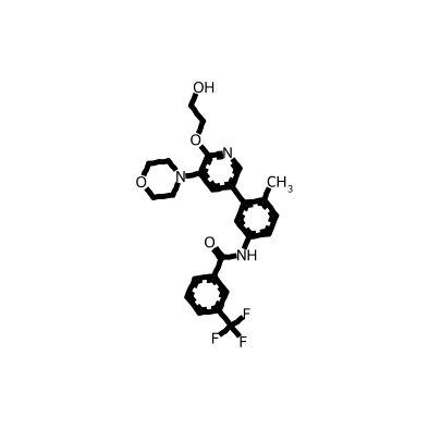 Cc1ccc(NC(=O)c2cccc(C(F)(F)F)c2)cc1-c1cnc(OCCO)c(N2CCOCC2)c1